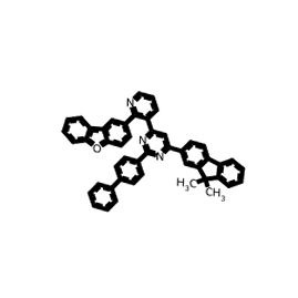 CC1(C)c2ccccc2-c2ccc(-c3cc(-c4cccnc4-c4ccc5oc6ccccc6c5c4)nc(-c4ccc(-c5ccccc5)cc4)n3)cc21